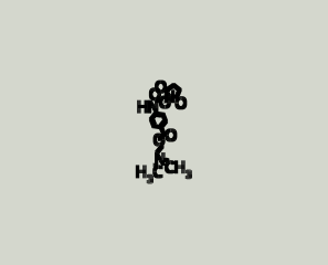 CCN(CC)CCOC(=O)c1ccc(NC(=O)ON2C(=O)CCC2=O)cc1